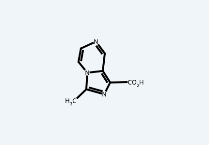 Cc1nc(C(=O)O)c2cnccn12